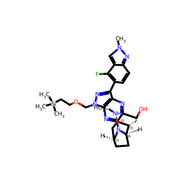 Cn1cc2c(F)c(-c3nn(COCC[Si](C)(C)C)c4nc(N5[C@H]6CC[C@@H]5[C@@H](F)[C@@H](NC(=O)O)C6)c(CO)nc34)ccc2n1